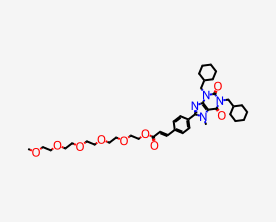 COCCOCCOCCOCCOCCOC(=O)/C=C/c1ccc(-c2nc3c(c(=O)n(CC4CCCCC4)c(=O)n3CC3CCCCC3)n2C)cc1